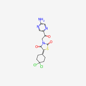 Nc1cnc(C(=O)CN2C(=O)SC(=C3CCC(Cl)(Cl)CC3)C2=O)cn1